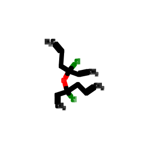 C=CCC(Cl)(C=C)OC(Cl)(C=C)CC=C